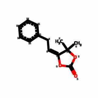 CC1(C)OC(=O)O/C1=C/Cc1ccccc1